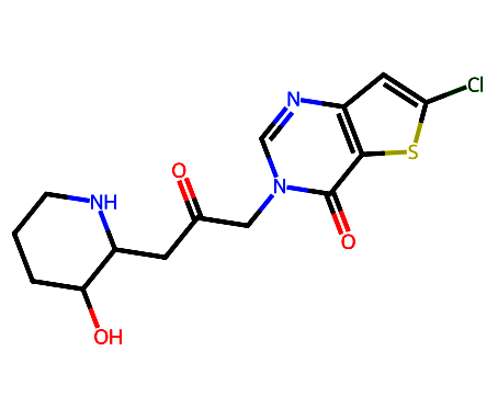 O=C(CC1NCCCC1O)Cn1cnc2cc(Cl)sc2c1=O